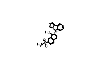 NS(=O)(=O)c1ccc2c(c1)C(O)C([C@H]1c3ccccc3-c3cncn31)CC2